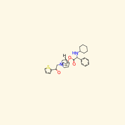 O=C(C[N+]12CCC(CC1)[C@@H](OC(=O)C(NC1CCCCC1)c1ccccc1)C2)c1cccs1